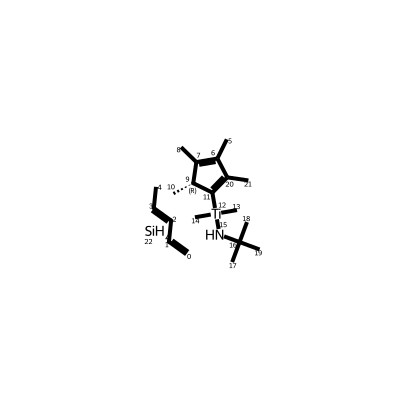 C=CC=CC.CC1=C(C)[C@@H](C)[C]([Ti]([CH3])([CH3])[NH]C(C)(C)C)=C1C.[SiH4]